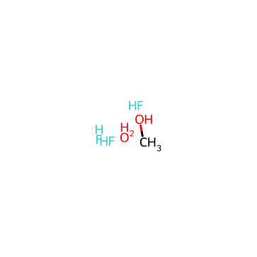 CO.F.F.F.O